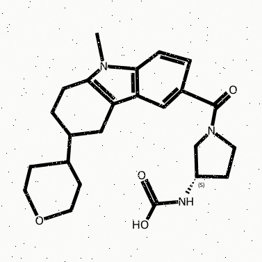 Cn1c2c(c3cc(C(=O)N4CC[C@H](NC(=O)O)C4)ccc31)CC(C1CCOCC1)CC2